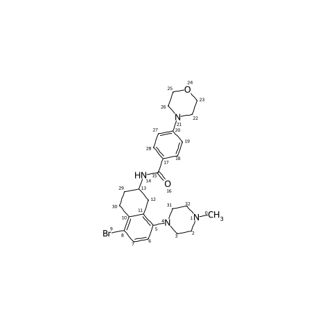 CN1CCN(c2ccc(Br)c3c2CC(NC(=O)c2ccc(N4CCOCC4)cc2)CC3)CC1